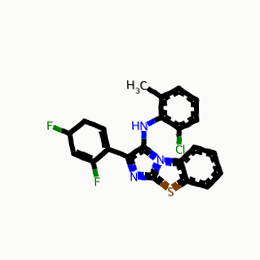 Cc1cccc(Cl)c1Nc1c(C2=CCC(F)C=C2F)nc2sc3ccccc3n12